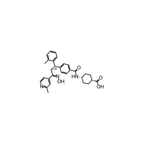 Cc1cc(C(C[C@H](c2ccc(C(=O)N[C@H]3CC[C@H](C(=O)O)CC3)cc2)c2ccccc2C)=NO)ccn1